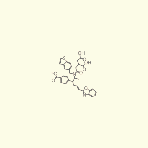 COC(=O)c1ccc(C(C/C=C/c2nc3ccccc3o2)C(C)N(Cc2ccc3sccc3c2)C(=O)CC(CC(=O)O)C(=O)O)cc1